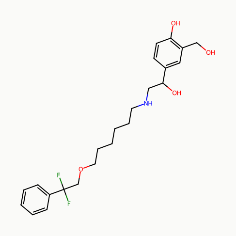 OCc1cc(C(O)CNCCCCCCOCC(F)(F)c2ccccc2)ccc1O